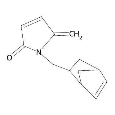 C=C1C=CC(=O)N1CC1CC2C=CC1C2